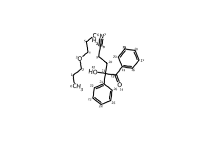 CCCOCCC.N#CCCC(O)(C(=O)c1ccccc1)c1ccccc1